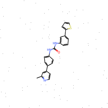 Cc1cc(-c2ccc(NC(=O)Nc3cccc(-c4cccs4)c3)cc2)ccn1